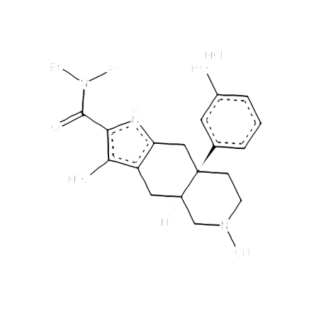 CCN(CC)C(=O)c1[nH]c2c(c1C)C[C@@H]1CN(C)CC[C@@]1(c1cccc(O)c1)C2.Cl